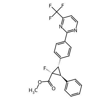 COC(=O)[C@]1(F)[C@H](c2ccccc2)[C@H]1c1ccc(-c2nccc(C(F)(F)F)n2)cc1